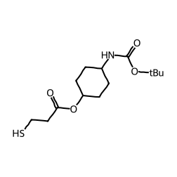 CC(C)(C)OC(=O)NC1CCC(OC(=O)CCS)CC1